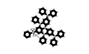 C[Si](C)(c1ccccc1)c1cc2c3c(c1)N(c1ccccc1)c1cc(N(c4ccccc4)c4ccccc4)ccc1B3c1ccc(N(c3ccccc3)c3ccccc3)cc1N2c1ccccc1